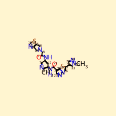 Cc1ncc(NC(=O)CN2Cc3ncsc3C2)cc1NC(=O)c1cnn2cc(-c3cnn(C)c3)sc12